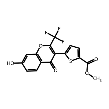 COC(=O)c1ccc(-c2c(C(F)(F)F)oc3cc(O)ccc3c2=O)s1